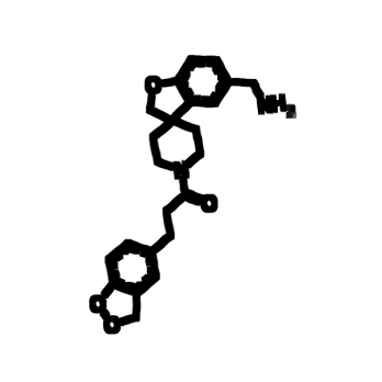 NCc1ccc2c(c1)C1(CCN(C(=O)CCc3ccc4c(c3)COO4)CC1)CO2